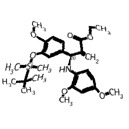 C=C(C(=O)OCC)[C@@H](Nc1ccc(OC)cc1OC)c1ccc(OC)c(O[Si](C)(C)C(C)(C)C)c1